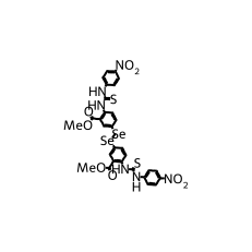 COC(=O)c1cc([Se][Se]c2ccc(NC(=S)Nc3ccc([N+](=O)[O-])cc3)c(C(=O)OC)c2)ccc1NC(=S)Nc1ccc([N+](=O)[O-])cc1